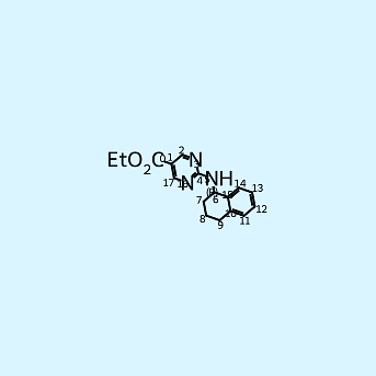 CCOC(=O)c1cnc(N[C@@H]2CCCc3ccccc32)nc1